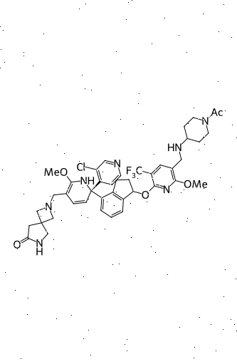 COC1=C(CN2CC3(CNC(=O)C3)C2)C=C[C@@](c2ccncc2Cl)(c2cccc3c2CCC3Oc2nc(OC)c(CNC3CCN(C(C)=O)CC3)cc2C(F)(F)F)N1